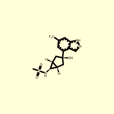 CS(=O)(=O)N[C@H]1[C@@H]2C[C@](O)(c3cc(C(F)(F)F)cc4[nH]ncc34)C[C@@H]21